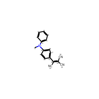 CN(c1ccccc1)c1ccc(C(C#N)=C(C#N)C#N)cc1